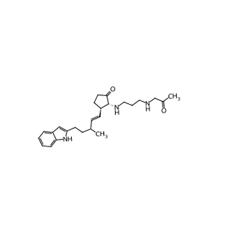 CC(=O)CNCCCN[C@H]1C(=O)CC[C@@H]1/C=C/C(C)CCc1cc2ccccc2[nH]1